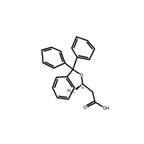 C[C@H](CC(=O)O)OC(c1ccccc1)(c1ccccc1)c1ccccc1